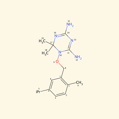 Cc1ccc(C(C)C)cc1CON1C(N)=NC(N)=NC1(C)C